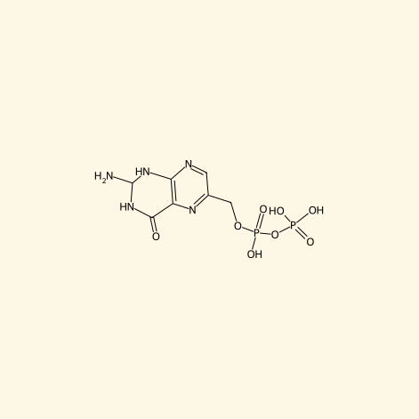 NC1NC(=O)c2nc(COP(=O)(O)OP(=O)(O)O)cnc2N1